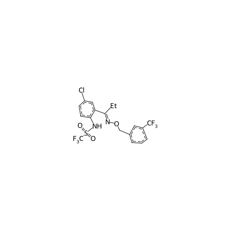 CC/C(=N\OCc1cccc(C(F)(F)F)c1)c1cc(Cl)ccc1NS(=O)(=O)C(F)(F)F